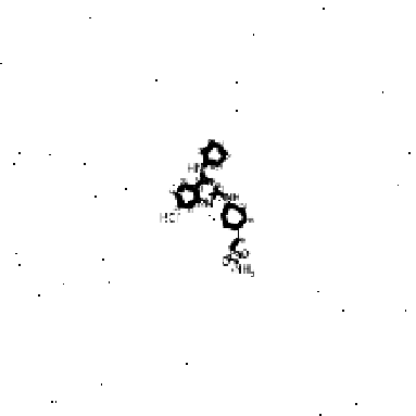 Cl.NS(=O)(=O)CC[C@H]1CC[C@H](Nc2nc(Nc3ccccc3)c3ccccc3n2)CC1